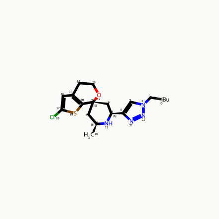 CCC(C)Cn1cc([C@@H]2C[C@]3(C[C@H](C)N2)OCCc2cc(Cl)sc23)nn1